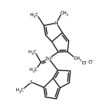 CSC1=CC=C2C=C[C]([Zr+2]([C]3=C(C)C=C4C3C=C(C)N4C)=[C](C)C)=C21.[Cl-].[Cl-]